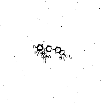 Cc1nc2ccc(N3CC[C@H](c4cc(F)c(F)cc4F)[C@@H](N(C(=O)O)C(C)(C)C)C3)nc2n1C